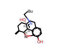 C=C1CC[C@@]2(O)C3Cc4ccc(O)c5c4[C@@]2(CCN3CC(C)CC)[C@H]1O5